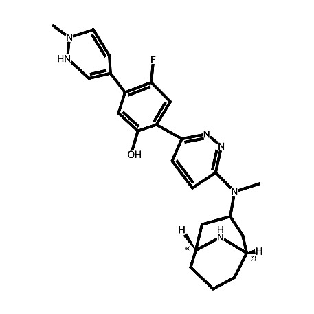 CN1C=CC(c2cc(O)c(-c3ccc(N(C)C4C[C@H]5CCC[C@@H](C4)N5)nn3)cc2F)=CN1